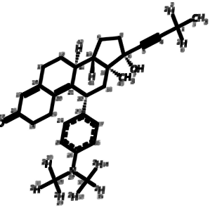 [2H]C([2H])(C)C#C[C@]1(O)CC[C@H]2[C@@H]3CCC4=CC(=O)CCC4=C3[C@@H](c3ccc(N(C([2H])([2H])[2H])C([2H])([2H])[2H])cc3)C[C@@]21C